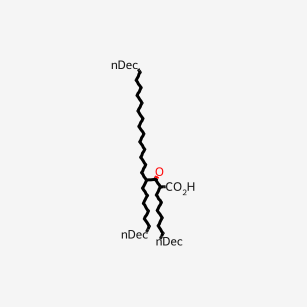 CCCCCCCCCCCCCCCCCCCCCCCCC(CCCCCCCCCCCCCCCC)C(=O)C(CCCCCCCCCCCCCCCC)C(=O)O